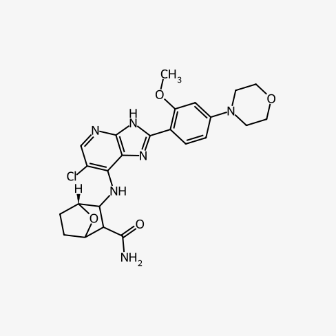 COc1cc(N2CCOCC2)ccc1-c1nc2c(NC3C(C(N)=O)C4CC[C@H]3O4)c(Cl)cnc2[nH]1